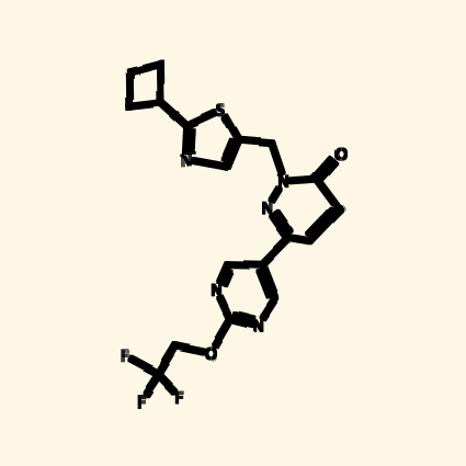 O=c1ccc(-c2cnc(OCC(F)(F)F)nc2)nn1Cc1cnc(C2CCC2)s1